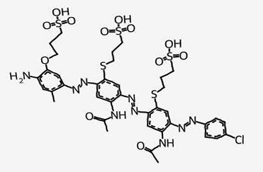 CC(=O)Nc1cc(N=Nc2cc(SCCCS(=O)(=O)O)c(N=Nc3cc(OCCCS(=O)(=O)O)c(N)cc3C)cc2NC(C)=O)c(SCCCS(=O)(=O)O)cc1N=Nc1ccc(Cl)cc1